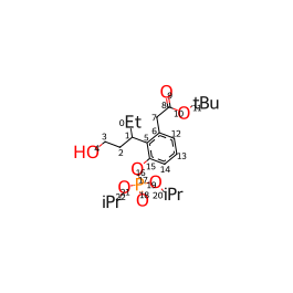 CCC(CCO)c1c(CC(=O)OC(C)(C)C)cccc1OP(=O)(OC(C)C)OC(C)C